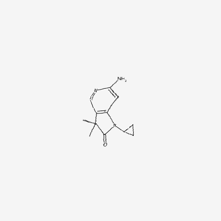 CC1(C)C(=O)N(C2CC2)c2cc(N)ncc21